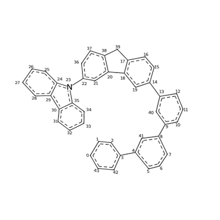 c1ccc(-c2cccc(-c3cccc(-c4ccc5c(c4)-c4cc(-n6c7ccccc7c7ccccc76)ccc4C5)c3)c2)cc1